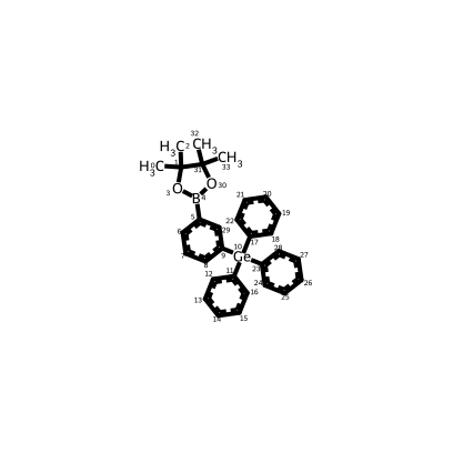 CC1(C)OB(c2ccc[c]([Ge]([c]3ccccc3)([c]3ccccc3)[c]3ccccc3)c2)OC1(C)C